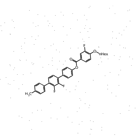 CCCCCCOc1ccc(C(=O)Oc2ccc(-c3ccc(-c4ccc(C)cc4)c(F)c3F)cc2)cc1F